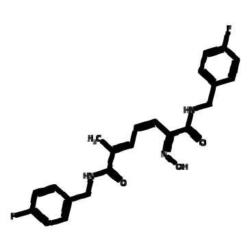 C\C(=C/C=C\C(=N\O)C(=O)NCc1ccc(F)cc1)C(=O)NCc1ccc(F)cc1